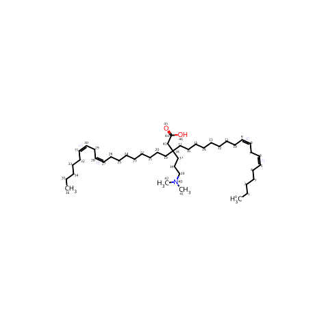 CCCCC/C=C\C/C=C\CCCCCCCCC(CCCCCCCC/C=C\C/C=C\CCCCC)(CCCN(C)C)CC(=O)O